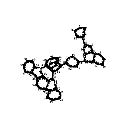 c1ccc(-c2cc3c4ccccc4nc(-c4ccc(-c5cccc(-c6nc7ccccc7c7ccc8c9ccccc9n(-c9ccccc9)c8c67)c5)cc4)n3n2)cc1